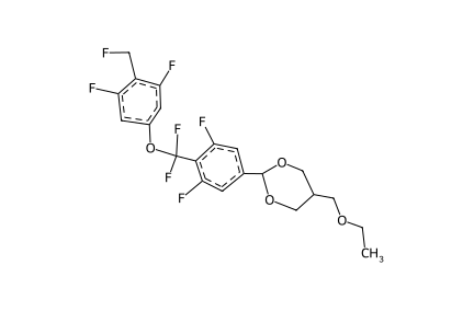 CCOCC1COC(c2cc(F)c(C(F)(F)Oc3cc(F)c(CF)c(F)c3)c(F)c2)OC1